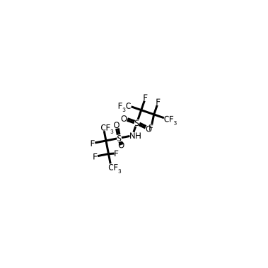 O=S(=O)(NS(=O)(=O)C(F)(C(F)(F)F)C(F)(F)C(F)(F)F)C(F)(C(F)(F)F)C(F)(F)C(F)(F)F